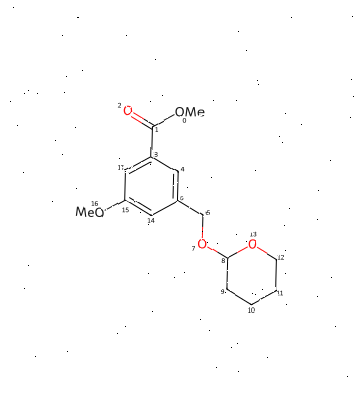 COC(=O)c1cc(COC2CCCCO2)cc(OC)c1